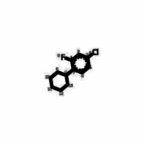 Fc1cc(Cl)ccc1C1CCCCC1